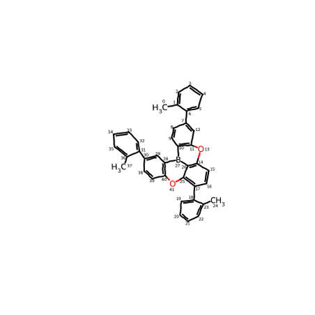 Cc1ccccc1-c1ccc2c(c1)Oc1ccc(-c3ccccc3C)c3c1B2c1cc(-c2ccccc2C)ccc1O3